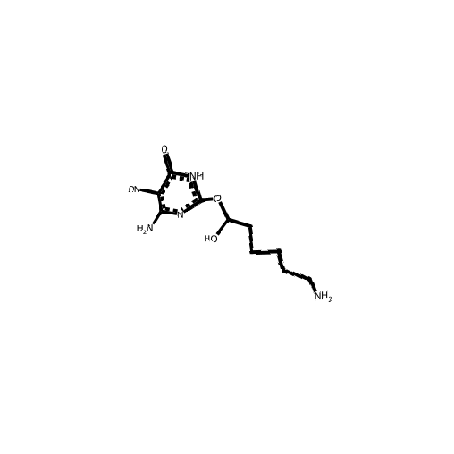 NCCCCCC(O)Oc1nc(N)c(N=O)c(=O)[nH]1